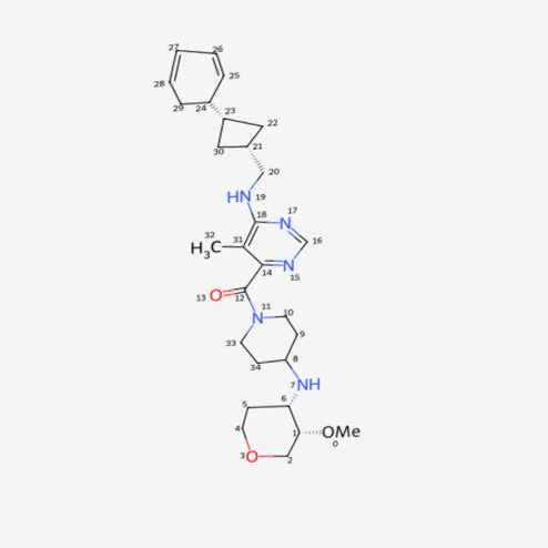 CO[C@@H]1COCC[C@@H]1NC1CCN(C(=O)c2ncnc(NC[C@H]3C[C@@H](C4C=CC=CC4)C3)c2C)CC1